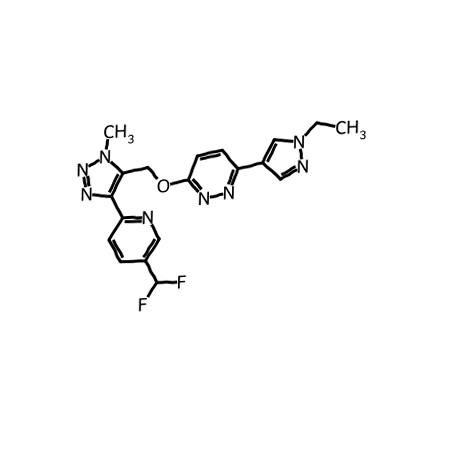 CCn1cc(-c2ccc(OCc3c(-c4ccc(C(F)F)cn4)nnn3C)nn2)cn1